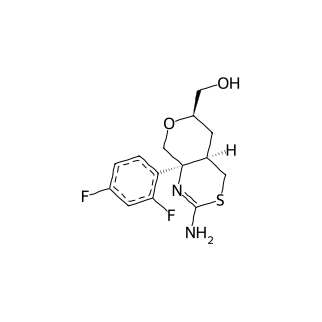 NC1=N[C@@]2(c3ccc(F)cc3F)CO[C@@H](CO)C[C@H]2CS1